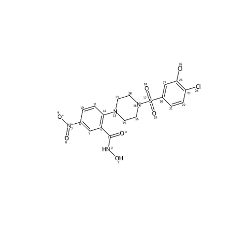 O=C(NO)c1cc([N+](=O)[O-])ccc1N1CCN(S(=O)(=O)c2ccc(Cl)c(Cl)c2)CC1